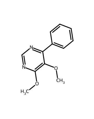 COc1ncnc(-c2ccccc2)c1OC